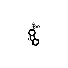 O=[SH](=O)c1ccc2oc3ccccc3c2c1